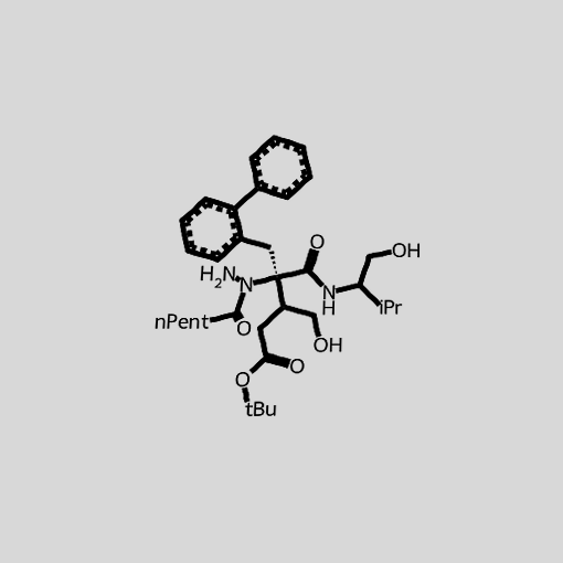 CCCCCC(=O)N(N)[C@@](Cc1ccccc1-c1ccccc1)(C(=O)NC(CO)C(C)C)C(CO)CC(=O)OC(C)(C)C